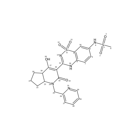 CS(=O)(=O)Nc1ccc2c(c1)S(=O)(=O)N=C(C1=C(O)C3CCCC3N(Cc3ccccn3)C1=O)N2